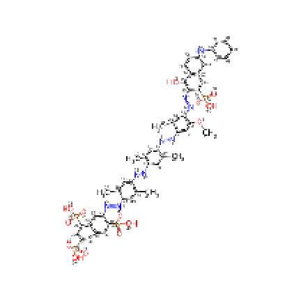 COc1cc(N=Nc2cc(C)c(N=Nc3cc(C)c(N=Nc4cc5c(S(=O)(=O)O)cc(S(=O)(=O)O)cc5cc4S(=O)(=O)O)cc3C)cc2C)c(C)cc1N=Nc1c(S(=O)(=O)O)cc2cc(Nc3ccccc3)ccc2c1O